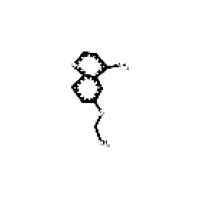 CCOc1ccc2nccc(N)c2c1